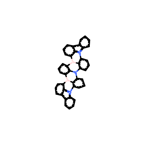 c1cc2c3c(c1)B1c4c(cccc4-n4c5ccccc5c5cccc1c54)N3c1cccc3c1B2c1cccc2c4ccccc4n-3c12